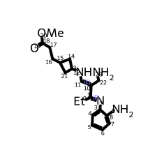 CCC(=N\c1ccccc1N)/C(=C/NC1CC(CCC(=O)OC)C1)CN